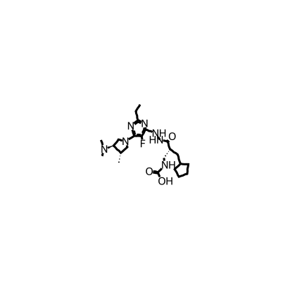 CCc1nc(NNC(=O)[C@@H](CNC(=O)O)CC2CCCC2)c(F)c(N2C[C@H](C)[C@@H](N(C)C)C2)n1